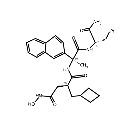 CC(C)C[C@H](NC(=O)[C@@](C)(NC(=O)[C@H](CC(=O)NO)CC1CCC1)c1ccc2ccccc2c1)C(N)=O